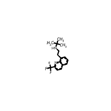 CC(C)(C)NCCc1cccc2ccc(C(F)(F)F)nc12